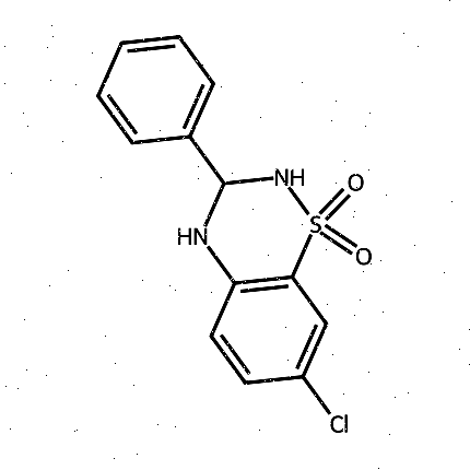 O=S1(=O)NC(c2ccccc2)Nc2ccc(Cl)cc21